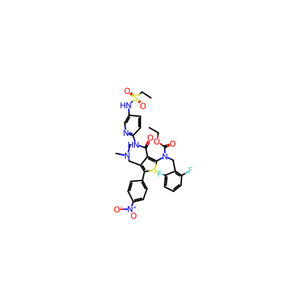 CCOC(=O)N(Cc1c(F)cccc1F)c1sc(-c2ccc([N+](=O)[O-])cc2)c(CN(C)C)c1C(=O)Nc1ccc(NS(=O)(=O)CC)cn1